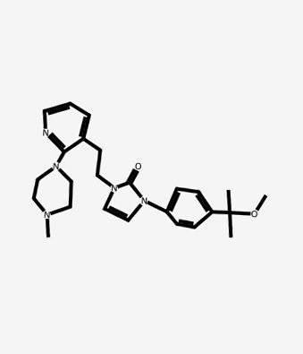 COC(C)(C)c1ccc(-n2ccn(CCc3cccnc3N3CCN(C)CC3)c2=O)cc1